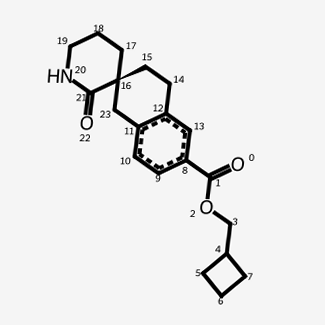 O=C(OCC1CCC1)c1ccc2c(c1)CC[C@@]1(CCCNC1=O)C2